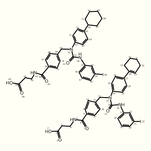 O=C(O)CCNC(=O)c1ccc(CN(C(=O)Nc2cccc(I)c2)c2ccc(C3=CCCCC3)cc2)cc1.O=C(O)CCNC(=O)c1ccc(CN(C(=O)Nc2cccc(I)c2)c2ccc(C3CCCCC3)cc2)cc1